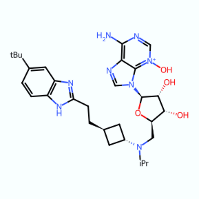 CC(C)N(C[C@H]1O[C@@H](n2cnc3c(N)nc[n+](O)c32)[C@H](O)[C@@H]1O)[C@H]1C[C@H](CCc2nc3cc(C(C)(C)C)ccc3[nH]2)C1